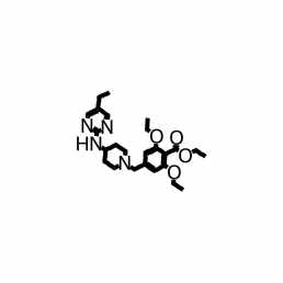 CCOC(=O)c1c(OCC)cc(CN2CCC(Nc3ncc(CC)cn3)CC2)cc1OCC